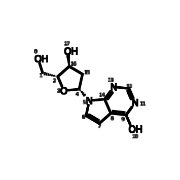 OC[C@H]1O[C@@H](n2ccc3c(O)ncnc32)C[C@@H]1O